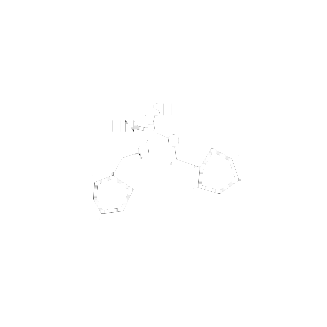 N=P(S)(OCc1ccccc1)OCc1ccccc1